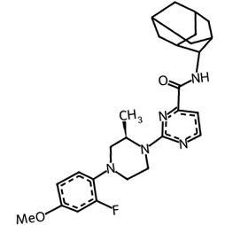 COc1ccc(N2CCN(c3nccc(C(=O)NC4C5CC6CC(C5)CC4C6)n3)[C@H](C)C2)c(F)c1